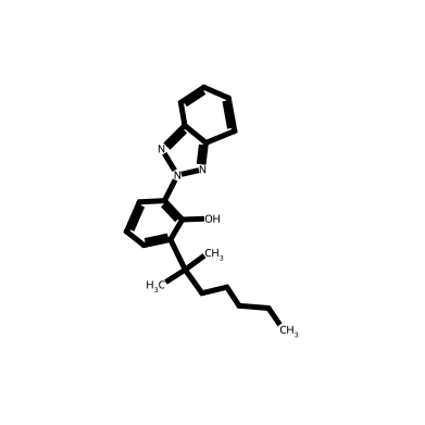 CCCCCC(C)(C)c1cccc(-n2nc3ccccc3n2)c1O